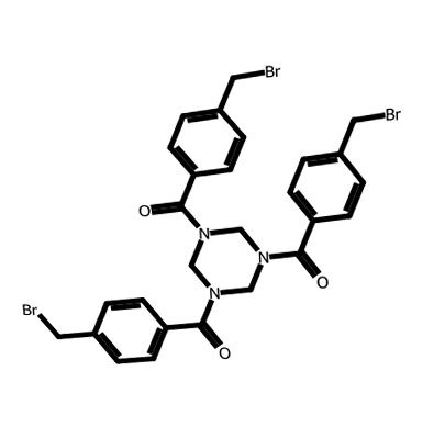 O=C(c1ccc(CBr)cc1)N1CN(C(=O)c2ccc(CBr)cc2)CN(C(=O)c2ccc(CBr)cc2)C1